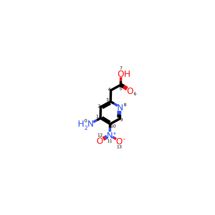 Nc1cc(CC(=O)O)ncc1[N+](=O)[O-]